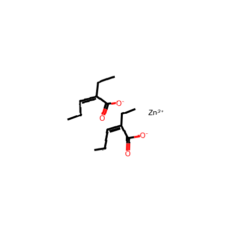 CC/C=C(/CC)C(=O)[O-].CC/C=C(/CC)C(=O)[O-].[Zn+2]